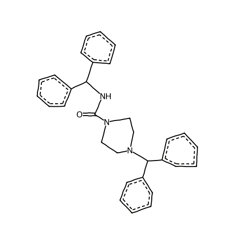 O=C(NC(c1ccccc1)c1ccccc1)N1CCN(C(c2ccccc2)c2ccccc2)CC1